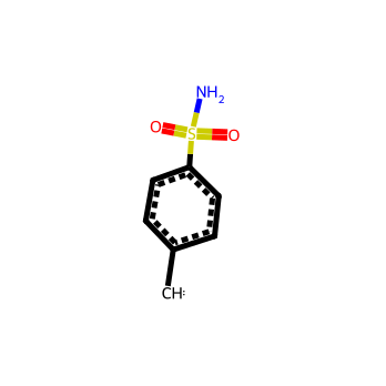 [CH]c1ccc(S(N)(=O)=O)cc1